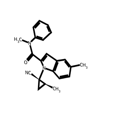 Cc1ccc2c(c1)cc(C(=O)N(C)c1ccccc1)n2[C@@]1(C#N)C[C@@H]1C